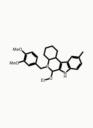 CCOC1c2[nH]c3ccc(C)cc3c2C2CCCCC2N1Cc1ccc(OC)c(OC)c1